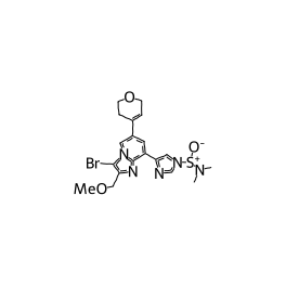 COCc1nc2c(-c3cn([S+]([O-])N(C)C)cn3)cc(C3=CCOCC3)cn2c1Br